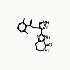 C=C(Cc1c[nH]nc1-c1nc2c([nH]1)C(=O)NCCC2)c1c(C)cccc1C